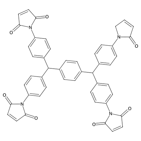 O=C1C=CCN1c1ccc(C(c2ccc(C(c3ccc(N4C(=O)C=CC4=O)cc3)c3ccc(N4C(=O)C=CC4=O)cc3)cc2)c2ccc(N3C(=O)C=CC3=O)cc2)cc1